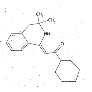 CC1(C)Cc2ccccc2/C(=C/C(=O)C2CCCCC2)N1